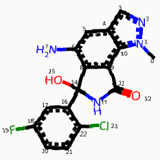 Cn1ncc2cc(N)c3c(c21)C(=O)NC3(O)c1cc(F)ccc1Cl